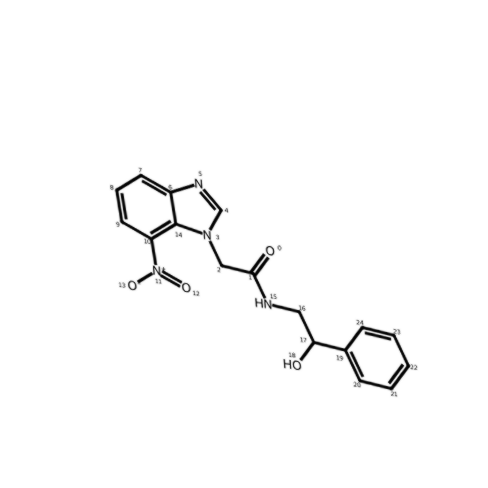 O=C(Cn1cnc2cccc([N+](=O)[O-])c21)NCC(O)c1ccccc1